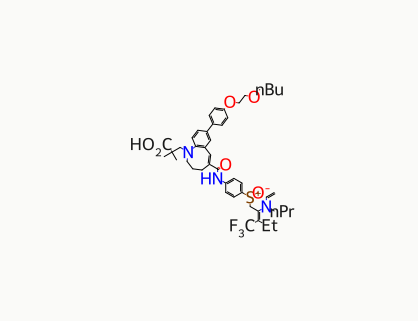 C=CN(CCC)/C(C[S@+]([O-])c1ccc(NC(=O)/C2=C/c3cc(-c4ccc(OCCOCCCC)cc4)ccc3N(CC(C)(C)C(=O)O)CCC2)cc1)=C(\CC)C(F)(F)F